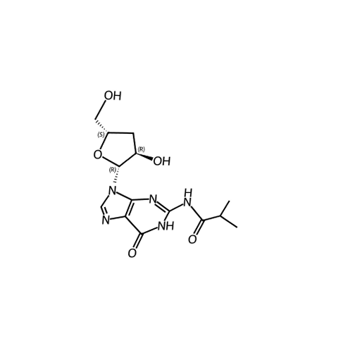 CC(C)C(=O)Nc1nc2c(ncn2[C@@H]2O[C@H](CO)C[C@H]2O)c(=O)[nH]1